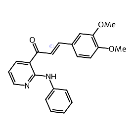 COc1ccc(/C=C/C(=O)c2cccnc2Nc2ccccc2)cc1OC